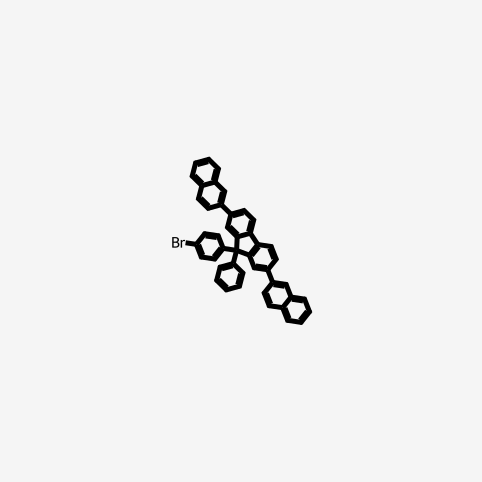 Brc1ccc(C2(c3ccccc3)c3cc(-c4ccc5ccccc5c4)ccc3-c3ccc(-c4ccc5ccccc5c4)cc32)cc1